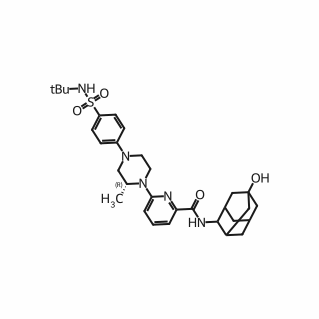 C[C@@H]1CN(c2ccc(S(=O)(=O)NC(C)(C)C)cc2)CCN1c1cccc(C(=O)NC2C3CC4CC2CC(O)(C4)C3)n1